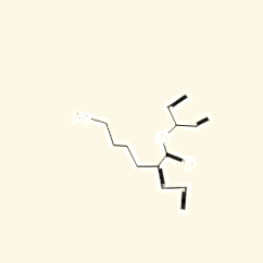 C=CC=C(CCCCC(C)=O)C(=O)OC(C=C)C=C